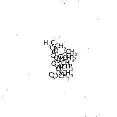 C=C1c2oc3c4c(ccc3c2C=CC1C)C=C(C1(CC)c2ccccc2-c2cc(C3=CCCc5ccccc53)c([SiH](C)C)c[n+]2C1CC)[N+]1(C)C=C(C)C(CC(C)C)=CC41